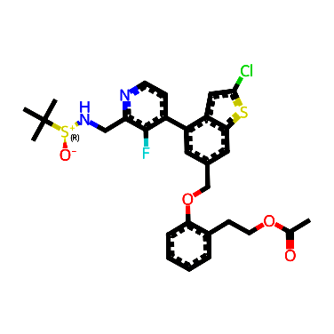 CC(=O)OCCc1ccccc1OCc1cc(-c2ccnc(CN[S@@+]([O-])C(C)(C)C)c2F)c2cc(Cl)sc2c1